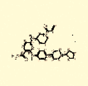 C=CC(=O)N1CCC[C@@H](N(C)c2cnc(C(N)=O)c(Nc3ccc(C4CCN(C5CCCC5)CC4)cc3)n2)C1